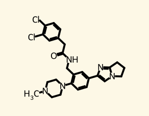 CN1CCN(c2ccc(-c3cn4c(n3)CCC4)cc2CNC(=O)Cc2ccc(Cl)c(Cl)c2)CC1